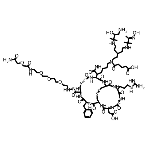 CC(=NO)C(C)(C)NCCC(CCNC(C)(C)C(O)CN)CCN(CCCCC(C(N)=O)C1NC(=O)CSCC(C(=O)NNCCOCCOCCOCCNC(=O)COCC(N)=O)NC(=O)C(Cc2ccccc2)NC(=O)C2CSSCC(NC1=O)C(=O)NC(CCCNC(=N)N)C(=O)NCC(=O)NC(CC(=O)O)C(=O)N2)C(=O)CCCC(=O)O